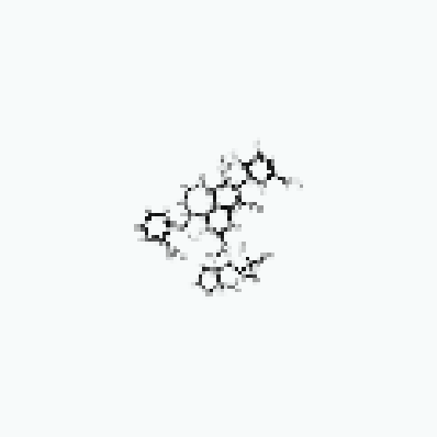 Cc1cc(N)nc(-c2c(Cl)c3c4c(nc(OC[C@@]56CCCN5C[C@]5(CC5(F)F)C6)nc4c2F)N([C@H](C)c2cccnc2N)CCO3)c1C(F)(F)F